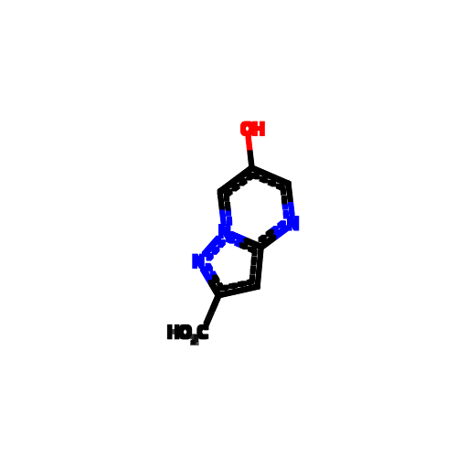 O=C(O)c1cc2ncc(O)cn2n1